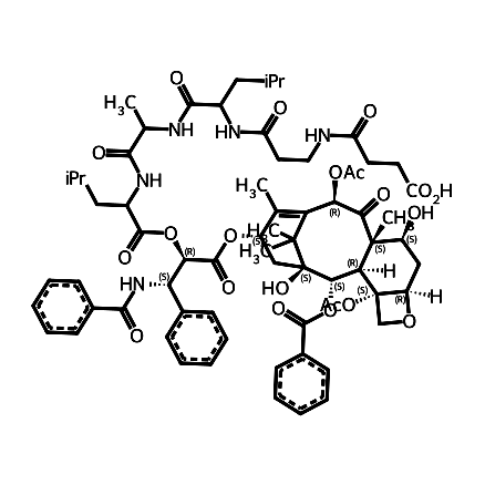 CC(=O)O[C@H]1C(=O)[C@@]2(C)[C@H]([C@H](OC(=O)c3ccccc3)[C@]3(O)C[C@H](OC(=O)[C@H](OC(=O)C(CC(C)C)NC(=O)C(C)NC(=O)C(CC(C)C)NC(=O)CCNC(=O)CCC(=O)O)[C@@H](NC(=O)c4ccccc4)c4ccccc4)C(C)=C1C3(C)C)[C@]1(OC(C)=O)CO[C@@H]1C[C@@H]2O